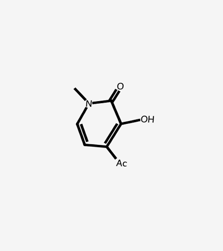 CC(=O)c1ccn(C)c(=O)c1O